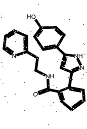 O=C(NCCc1ccccn1)c1ccccc1-c1cc(-c2ccc(O)cc2)[nH]n1